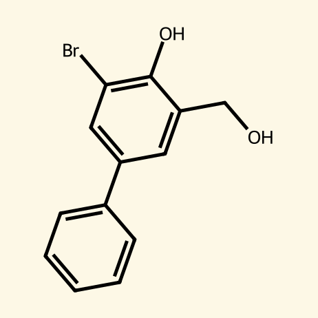 OCc1cc(-c2ccccc2)cc(Br)c1O